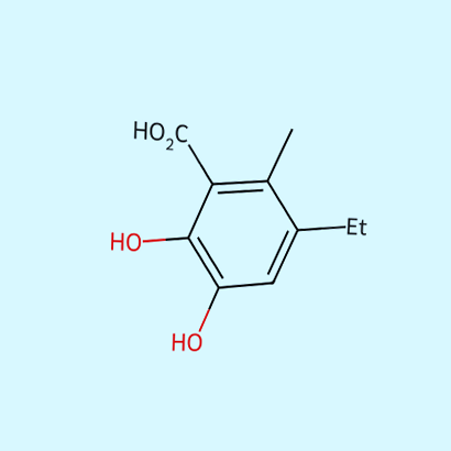 CCc1cc(O)c(O)c(C(=O)O)c1C